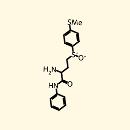 CSc1ccc([S+]([O-])CCC(N)C(=O)Nc2ccccc2)cc1